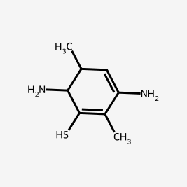 CC1=C(S)C(N)C(C)C=C1N